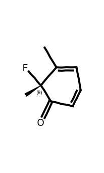 CC1=CC=CC(=O)[C@]1(C)F